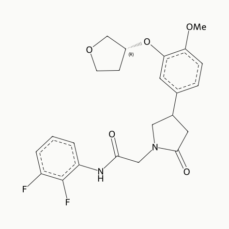 COc1ccc(C2CC(=O)N(CC(=O)Nc3cccc(F)c3F)C2)cc1O[C@@H]1CCOC1